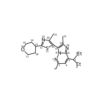 CCC(CC)c1cc(C)nn2c(-c3sc(C4CCOCC4)nc3C)c(C)nc12